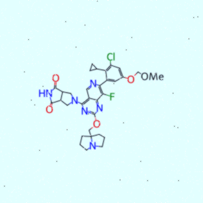 COCOc1cc(Cl)c(C2CC2)c(-c2ncc3c(N4CC5C(=O)NC(=O)C5C4)nc(OCC45CCCN4CCC5)nc3c2F)c1